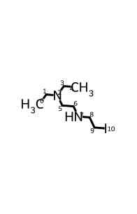 CCN(CC)CCNCCI